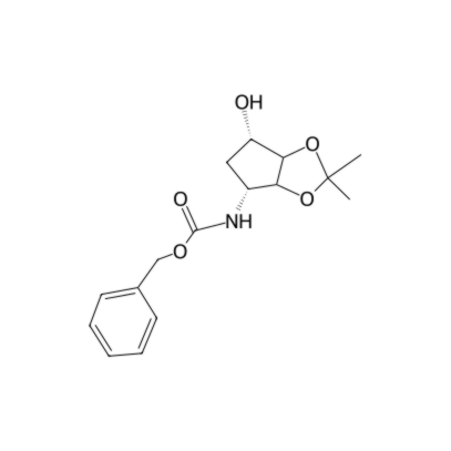 CC1(C)OC2C(O1)[C@H](NC(=O)OCc1ccccc1)C[C@@H]2O